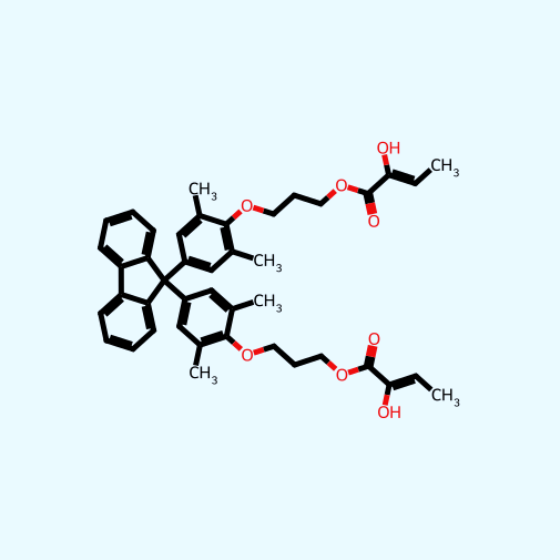 CC=C(O)C(=O)OCCCOc1c(C)cc(C2(c3cc(C)c(OCCCOC(=O)C(O)=CC)c(C)c3)c3ccccc3-c3ccccc32)cc1C